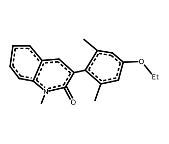 CCOc1cc(C)c(-c2cc3ccccc3n(C)c2=O)c(C)c1